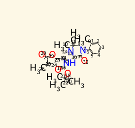 Cc1ccccc1N1CC(C)(C)N(C[C@H](NC(=O)OC(C)(C)C)[C@@H]2C[C@@H](C)C(=O)O2)CC1=O